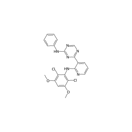 COc1cc(OC)c(Cl)c(Nc2ncccc2-c2ncnc(Nc3ccccc3)n2)c1Cl